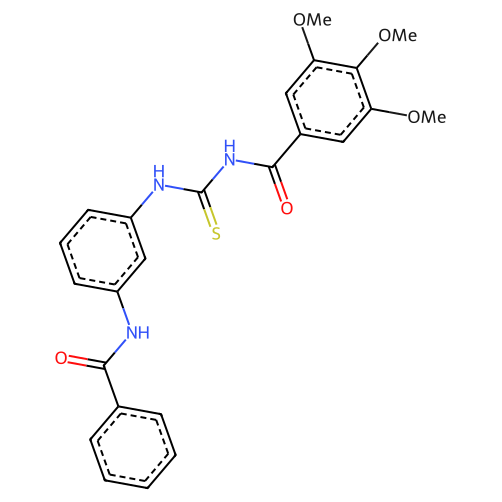 COc1cc(C(=O)NC(=S)Nc2cccc(NC(=O)c3ccccc3)c2)cc(OC)c1OC